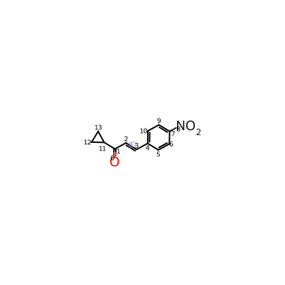 O=C(/C=C/c1ccc([N+](=O)[O-])cc1)C1CC1